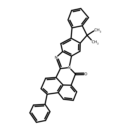 CC1(C)c2ccccc2-c2cc3nc4c5ccc(-c6ccccc6)c6cccc(c(=O)n4c3cc21)c65